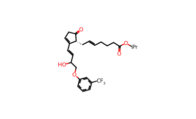 CC(C)OC(=O)CCCC=CC[C@H]1C(=O)CC=C1C=CC(O)COc1cccc(C(F)(F)F)c1